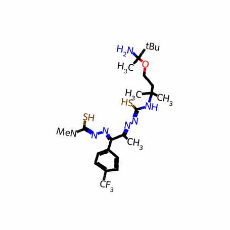 CN/C(S)=N/N=C(/C(C)=N/N=C(\S)NC(C)(C)CCOC(C)(N)C(C)(C)C)c1ccc(C(F)(F)F)cc1